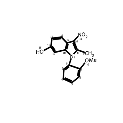 COc1ccccc1-n1c(C)c([N+](=O)[O-])c2ccc(O)cc21